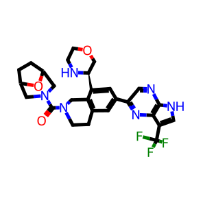 O=C(N1CCc2cc(-c3cnc4[nH]cc(C(F)(F)F)c4n3)cc([C@@H]3COCCN3)c2C1)N1CC2CCC(C1)O2